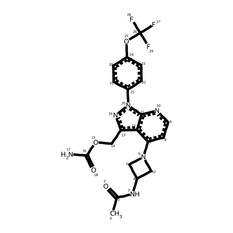 CC(=O)NC1CN(c2ccnc3c2c(COC(N)=O)nn3-c2ccc(OC(F)(F)F)cc2)C1